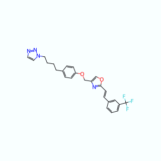 FC(F)(F)c1cccc(/C=C/c2nc(COc3ccc(CCCCn4ccnn4)cc3)co2)c1